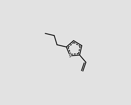 C=Cc1ccc(CCC)s1